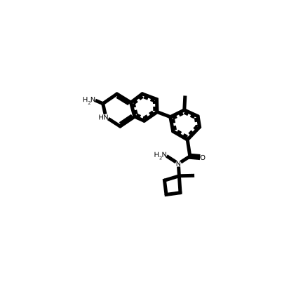 Cc1ccc(C(=O)N(N)C2(C)CCC2)cc1-c1ccc2c(c1)=CNC(N)C=2